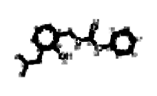 CC(C)Cc1cccc(COC(=O)Oc2ccccc2)c1O